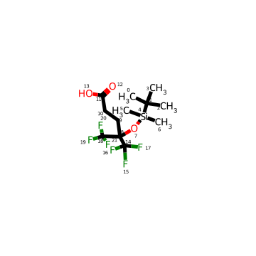 CC(C)(C)[Si](C)(C)OC(CCC(=O)O)(C(F)(F)F)C(F)(F)F